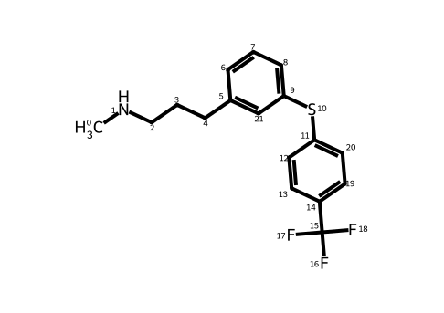 CNCCCc1cccc(Sc2ccc(C(F)(F)F)cc2)c1